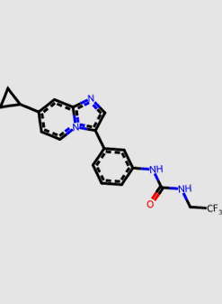 O=C(NCC(F)(F)F)Nc1cccc(-c2cnc3cc(C4CC4)ccn23)c1